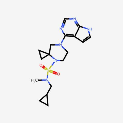 CN(CC1CC1)S(=O)(=O)N1CCN(c2ncnc3[nH]ccc23)CC12CC2